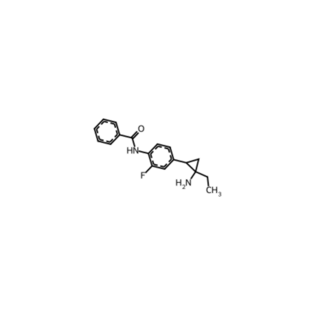 CCC1(N)CC1c1ccc(NC(=O)c2ccccc2)c(F)c1